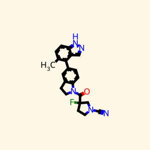 Cc1ccc2[nH]ncc2c1-c1ccc2c(c1)CCN2C(=O)C1(F)CCN(C#N)C1